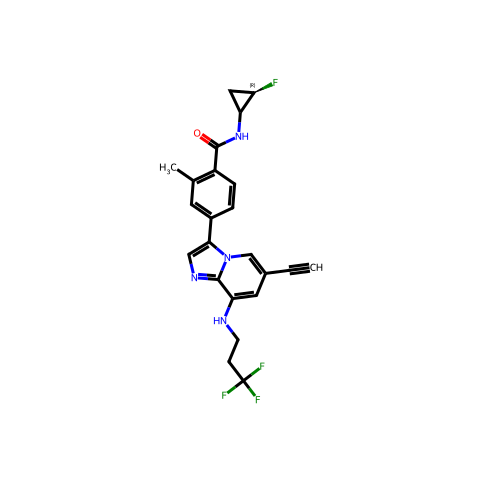 C#Cc1cc(NCCC(F)(F)F)c2ncc(-c3ccc(C(=O)NC4C[C@H]4F)c(C)c3)n2c1